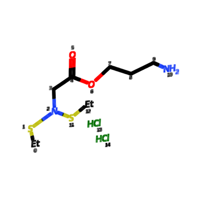 CCSN(CC(=O)OCCCN)SCC.Cl.Cl